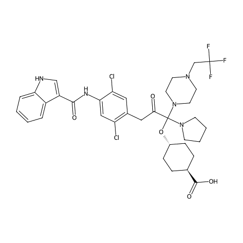 O=C(Nc1cc(Cl)c(CC(=O)C(O[C@H]2CC[C@H](C(=O)O)CC2)(N2CCCC2)N2CCN(CC(F)(F)F)CC2)cc1Cl)c1c[nH]c2ccccc12